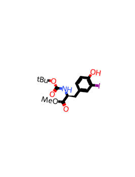 COC(=O)[C@H](Cc1ccc(O)c(I)c1)NC(=O)OC(C)(C)C